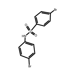 O=S(=O)(Nc1ccc(Br)cc1)c1ccc(Br)cc1